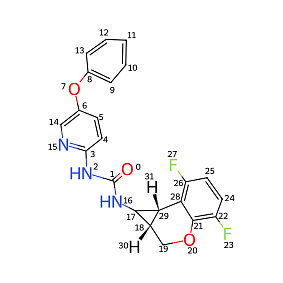 O=C(Nc1ccc(Oc2ccccc2)cn1)NC1[C@H]2COc3c(F)ccc(F)c3[C@@H]12